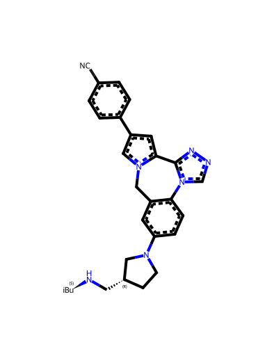 CC[C@H](C)NC[C@H]1CCN(c2ccc3c(c2)Cn2cc(-c4ccc(C#N)cc4)cc2-c2nncn2-3)C1